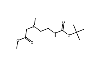 COC(=O)CN(C)CCNC(=O)OC(C)(C)C